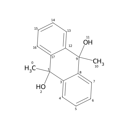 CC1(O)c2ccccc2C(C)(O)c2ccccc21